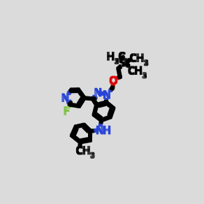 Cc1cccc(Nc2ccc3c(c2)c(-c2ccnc(F)c2)nn3COCC[Si](C)(C)C)c1